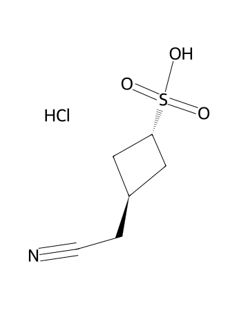 Cl.N#CC[C@H]1C[C@H](S(=O)(=O)O)C1